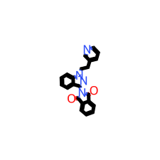 O=C1c2ccccc2C(=O)N1c1nn(CCc2cccnc2)c2ccccc12